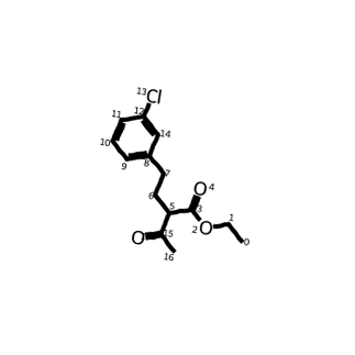 CCOC(=O)C(CCc1cccc(Cl)c1)C(C)=O